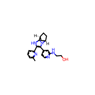 Cc1cccc(C2=C(c3ccnc(NCCO)c3)N3C(N2)[C@H]2CC[C@@H]3C2)n1